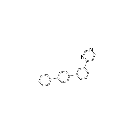 c1ccc(-c2ccc(-c3cccc(-c4ccncn4)c3)cc2)cc1